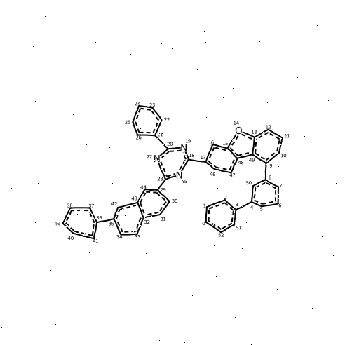 c1ccc(-c2cccc(-c3cccc4oc5cc(-c6nc(-c7ccccc7)nc(-c7ccc8ccc(-c9ccccc9)cc8c7)n6)ccc5c34)c2)cc1